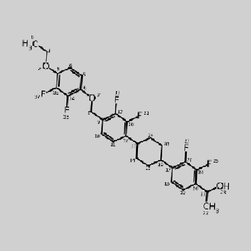 CCOc1ccc(OCc2ccc(C3CCC(c4ccc(C(C)O)c(F)c4F)CC3)c(F)c2F)c(F)c1F